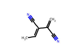 C=C(C#N)C(C#N)=CC